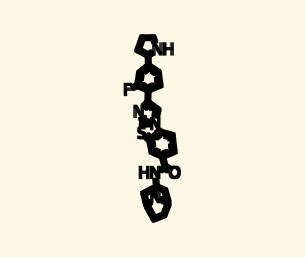 CN1C2CCC1CC(NC(=O)c1ccc3c(c1)sc1nc(-c4ccc(C5CCCN5)cc4F)cn13)C2